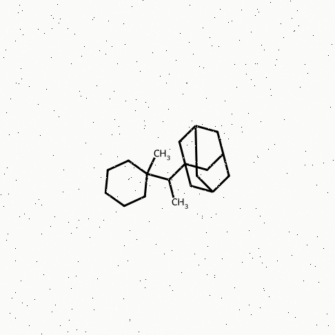 C[C](C1(C)CCCCC1)C12CC3CC(CC(C3)C1)C2